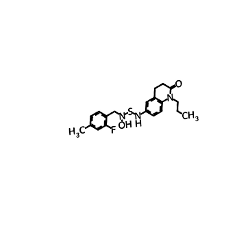 CCCN1C(=O)CCc2cc(NSN(O)Cc3ccc(C)cc3F)ccc21